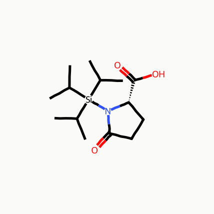 CC(C)[Si](C(C)C)(C(C)C)N1C(=O)CC[C@H]1C(=O)O